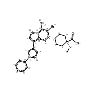 CS[C@]1(C(=O)O)CC[C@H](c2nc3c(-c4cnn(-c5ccccc5)c4)cnn3c(N)c2Br)CC1